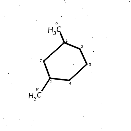 C[C]1CCCC(C)C1